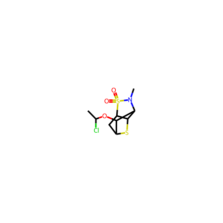 CC(Cl)OC1C2CC3C(S2)C1N(C)S3(=O)=O